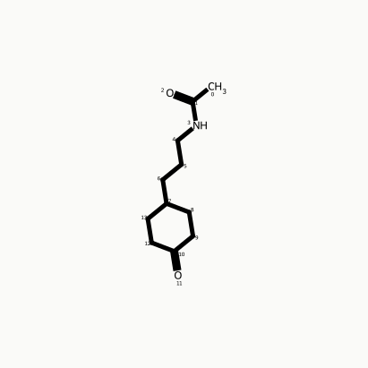 CC(=O)NCCCC1CCC(=O)CC1